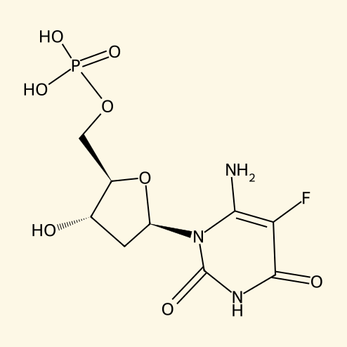 Nc1c(F)c(=O)[nH]c(=O)n1[C@H]1C[C@H](O)[C@@H](COP(=O)(O)O)O1